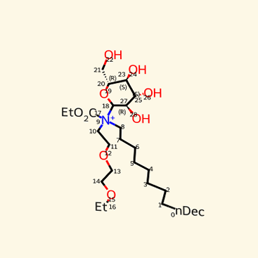 CCCCCCCCCCCCCCCCCC[N+](CCOCCOCC)(C(=O)OCC)C1O[C@H](CO)[C@@H](O)[C@H](O)[C@H]1O